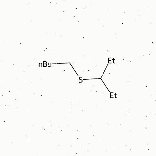 CCCCCSC(CC)CC